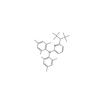 Cc1cc(C)c(N(c2cccc(C(S(C)(C)C)S(C)(C)C)n2)c2c(C)cc(C)cc2C)c(C)c1